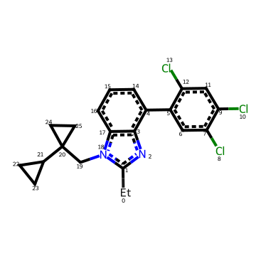 CCc1nc2c(-c3cc(Cl)c(Cl)cc3Cl)cccc2n1CC1(C2CC2)CC1